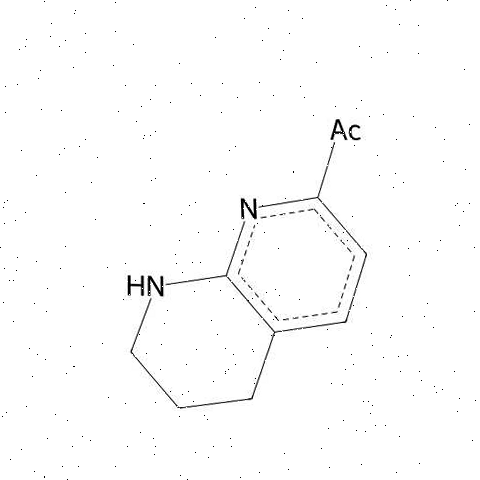 CC(=O)c1ccc2c(n1)NCCC2